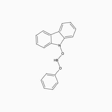 B(Oc1ccccc1)On1c2ccccc2c2ccccc21